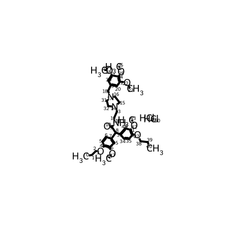 CCCOc1ccc(C(C(=O)NCCN2CCN(Cc3cc(OC)c(OC)c(OC)c3)CC2)c2ccc(OCCC)c(OC)c2)cc1OC.Cl.Cl